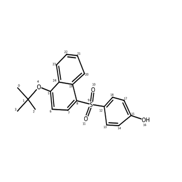 CC(C)(C)Oc1ccc(S(=O)(=O)c2ccc(O)cc2)c2ccccc12